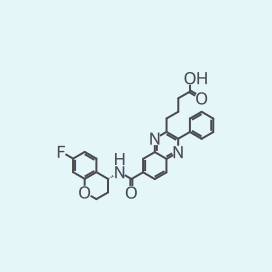 O=C(O)CCCc1nc2cc(C(=O)N[C@@H]3CCOc4cc(F)ccc43)ccc2nc1-c1ccccc1